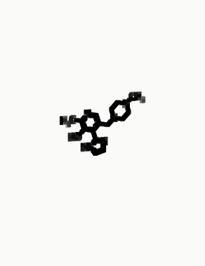 Cc1ncc(CN2CCN(C)CC2)c(-c2ncc[nH]2)c1O